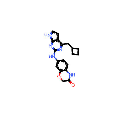 O=C1COc2cc(Nc3nc(CC4CCC4)c4cc[nH]c4n3)ccc2N1